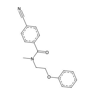 CN(CCOc1ccccc1)C(=O)c1ccc(C#N)cc1